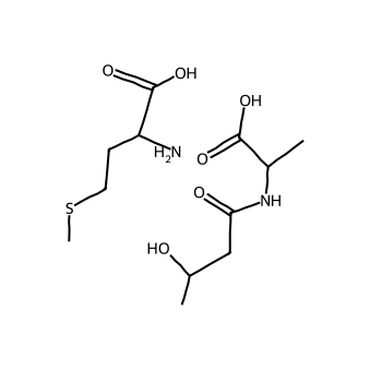 CC(O)CC(=O)NC(C)C(=O)O.CSCCC(N)C(=O)O